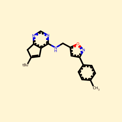 Cc1ccc(-c2cc(CNc3ncnc4c3C=C(C(C)(C)C)C4)on2)cc1